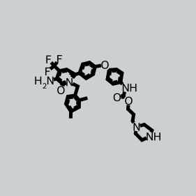 Cc1ccc(Cn2c(-c3ccc(Oc4ccc(NC(=O)OCCCN5CCNCC5)cc4)cc3)cc(C(F)(F)F)c(N)c2=O)c(C)c1